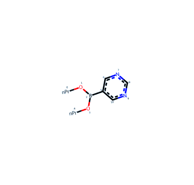 CCCOB(OCCC)c1cncnc1